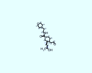 C/C(O)=C\C=C1\CN(C(=O)NCCN2CCOCC2)CCC1CC=O